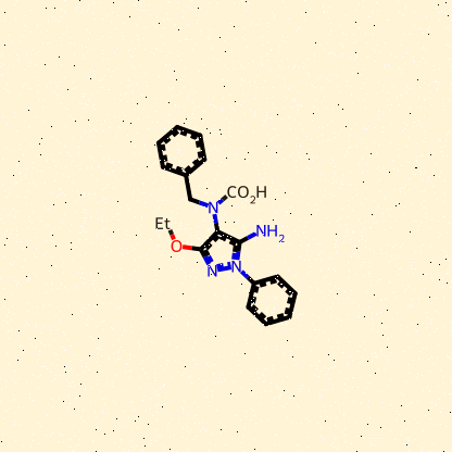 CCOc1nn(-c2ccccc2)c(N)c1N(Cc1ccccc1)C(=O)O